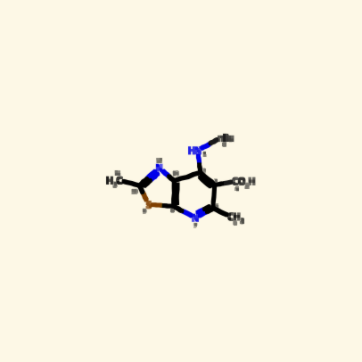 CCCCNc1c(C(=O)O)c(C)nc2sc(C)nc12